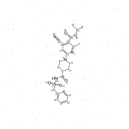 Cc1nc(N2CCC(C(=O)NS(=O)(=O)Cc3ccccc3)CC2)cc(C#N)c1C(=O)OC(C)C